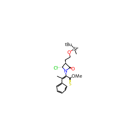 COC(=S)/C(=C(/C)c1ccccc1)N1C(=O)[C@H](CCO[Si](C)(C)C(C)(C)C)[C@H]1Cl